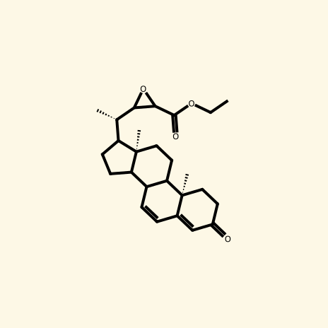 CCOC(=O)C1OC1[C@@H](C)C1CCC2C3C=CC4=CC(=O)CC[C@]4(C)C3CC[C@@]21C